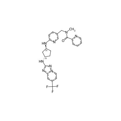 CN(Cc1ccc(N[C@H]2CC[C@H](Nc3nc4cc(C(F)(F)F)ccn4n3)C2)nc1)C(=O)c1ccccn1